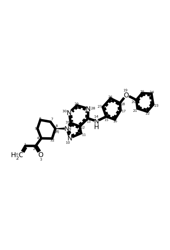 C=CC(=O)C1CCC[C@@H](n2ncc3c(Nc4ccc(Oc5ccccc5)cc4)ncnc32)C1